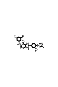 COc1cc(-c2nc3c(=O)n(C(C)c4cc(F)cc(F)c4)ncc3n2C)ccc1-n1cnc(C)c1